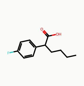 CCCCC(C(=O)O)c1ccc(F)cc1